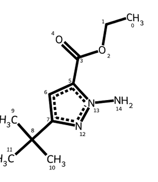 CCOC(=O)c1cc(C(C)(C)C)nn1N